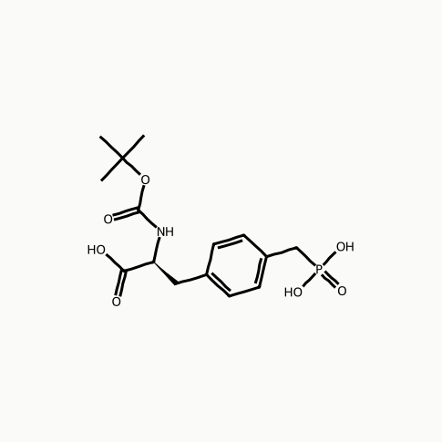 CC(C)(C)OC(=O)N[C@@H](Cc1ccc(CP(=O)(O)O)cc1)C(=O)O